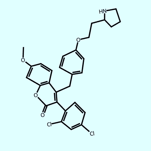 COc1ccc2c(Cc3ccc(OCCC4CCCN4)cc3)c(-c3ccc(Cl)cc3Cl)c(=O)oc2c1